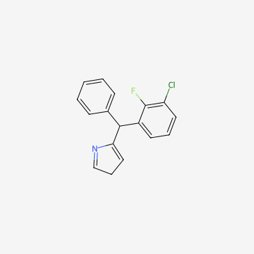 Fc1c(Cl)cccc1C(C1=CCC=N1)c1ccccc1